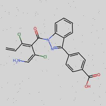 C=C/C(Cl)=C(C(=O)n1nc(-c2ccc(C(=O)O)cc2)c2ccccc21)\C(Cl)=C/N